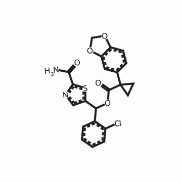 NC(=O)c1ncc(C(OC(=O)C2(c3ccc4c(c3)OCO4)CC2)c2ccccc2Cl)s1